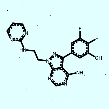 Nc1ncnc2c1c(-c1cc(O)c(F)c(F)c1)nn2CCNc1ncccn1